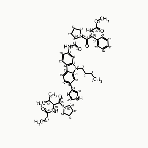 CCCCn1c2cc(NC(=O)[C@@H]3CCCN3C(=O)[C@H](NC(=O)OC)c3ccccc3)ccc2c2ccc(-c3c[nH]c([C@@H]4CCCN4C(=O)C(NC(=O)OC)C(C)C)n3)cc21